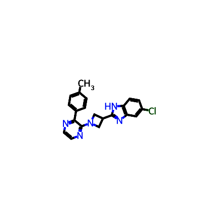 Cc1ccc(-c2nccnc2N2CC(c3nc4cc(Cl)ccc4[nH]3)C2)cc1